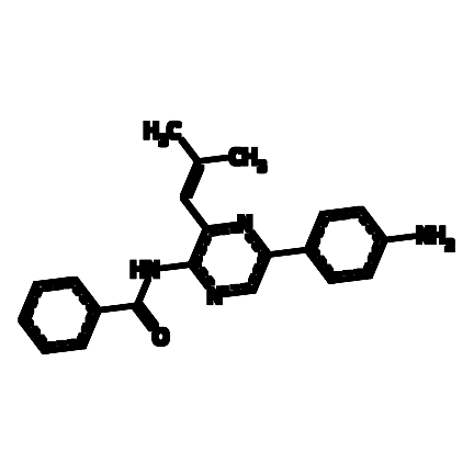 CC(C)=Cc1nc(-c2ccc(N)cc2)cnc1NC(=O)c1ccccc1